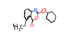 CCc1cccc2nc(OC3CCCCC3)oc(=O)c12